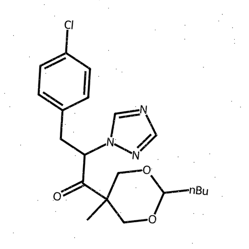 CCCCC1OCC(C)(C(=O)C(Cc2ccc(Cl)cc2)n2cncn2)CO1